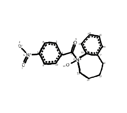 O=C(c1ccc([N+](=O)[O-])cc1)[N+]1([O-])CCCCc2ccccc21